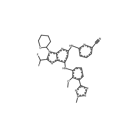 COc1c(Nc2cc(Nc3cccc(C#N)n3)nc3c2nc(C(F)F)n3C2CCCCO2)cccc1-c1nnn(C)n1